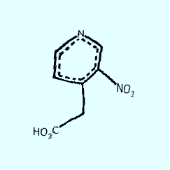 O=C(O)Cc1ccncc1[N+](=O)[O-]